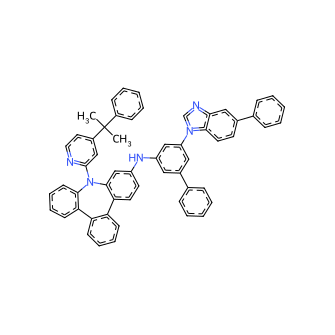 CC(C)(c1ccccc1)c1ccnc(N2c3ccccc3-c3ccccc3-c3ccc(Nc4cc(-c5ccccc5)cc(-n5cnc6cc(-c7ccccc7)ccc65)c4)cc32)c1